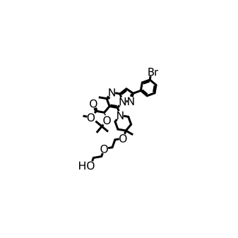 COC(=O)[C@@H](OC(C)(C)C)c1c(C)nc2cc(-c3cccc(Br)c3)nn2c1N1CCC(C)(OCCOCCO)CC1